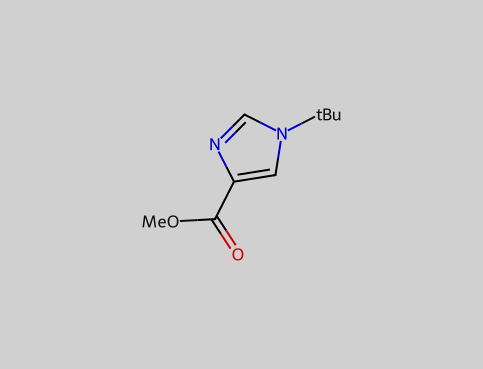 COC(=O)c1cn(C(C)(C)C)cn1